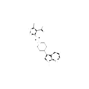 Cc1n[nH]c(S(=O)(=O)N2CCC(c3c[nH]c4ncccc34)CC2)c1C(=O)O